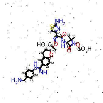 CC(O/N=C(\C(=O)N[C@@H]1C(=O)N(OS(=O)(=O)O)C1(C)C)c1csc(N)n1)(C(=O)O)[C@H]1CCc2cc(C(=N)Nc3ccc(CN)cc3)ccc2O1